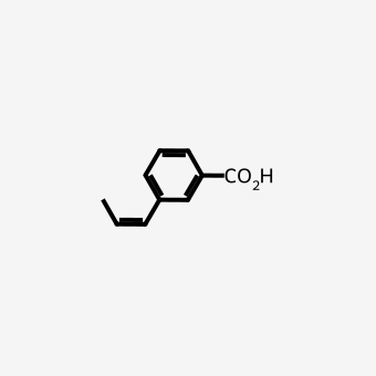 C/C=C\c1cccc(C(=O)O)c1